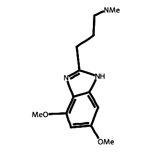 CNCCCc1nc2c(OC)cc(OC)cc2[nH]1